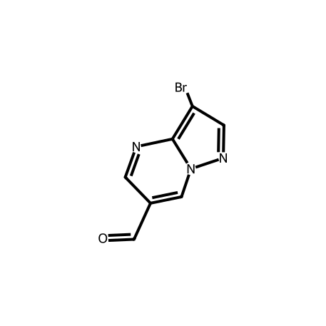 O=Cc1cnc2c(Br)cnn2c1